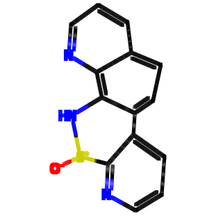 [O-][S+]1Nc2c(ccc3cccnc23)-c2cccnc21